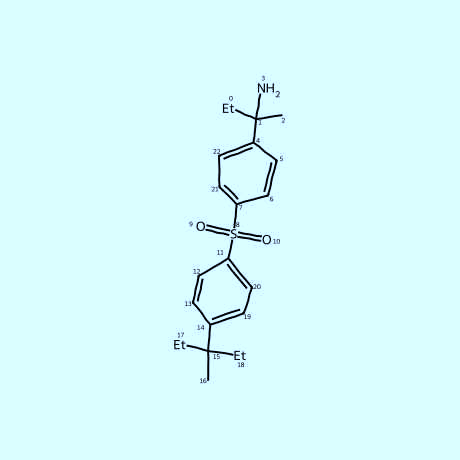 CCC(C)(N)c1ccc(S(=O)(=O)c2ccc(C(C)(CC)CC)cc2)cc1